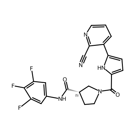 N#Cc1ncccc1-c1ccc(C(=O)N2CC[C@H](C(=O)Nc3cc(F)c(F)c(F)c3)C2)[nH]1